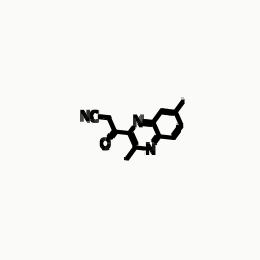 Cc1ccc2nc(C)c(C(=O)CC#N)nc2c1